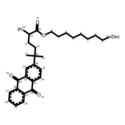 CCCCCCCCCCCCCCCCCCOC(=O)C(CCC(C)(C)c1ccc2c(c1)C(=O)c1ccccc1C2=O)C(C)C